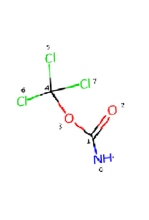 [NH]C(=O)OC(Cl)(Cl)Cl